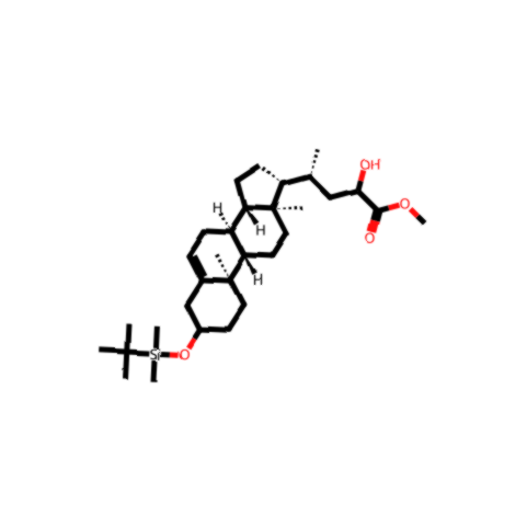 COC(=O)C(O)C[C@@H](C)[C@H]1CC[C@H]2[C@@H]3CC=C4CC(O[Si](C)(C)C(C)(C)C)CC[C@]4(C)[C@H]3CC[C@]12C